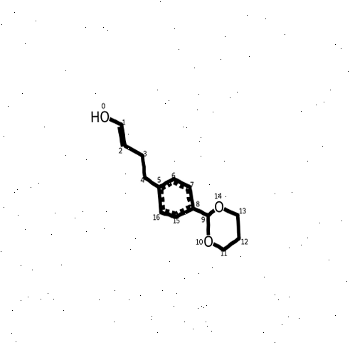 OC=CCCc1ccc(C2OCCCO2)cc1